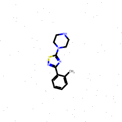 Cc1ccccc1-c1nsc(N2CCNCC2)n1